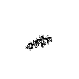 CC(=O)NC1(Cc2noc(C3CCN(C)CC3)n2)NC(c2scnc2C)=CS1